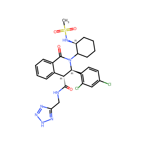 CS(=O)(=O)N[C@H]1CCCCC1N1C(=O)c2ccccc2[C@@H](C(=O)NCc2nn[nH]n2)[C@@H]1c1ccc(Cl)cc1Cl